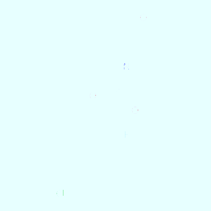 O=C(Oc1ccc(Cl)cc1F)N1CCOCC1